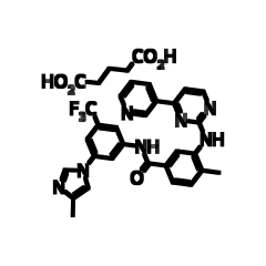 Cc1cn(-c2cc(NC(=O)c3ccc(C)c(Nc4nccc(-c5cccnc5)n4)c3)cc(C(F)(F)F)c2)cn1.O=C(O)CCCC(=O)O